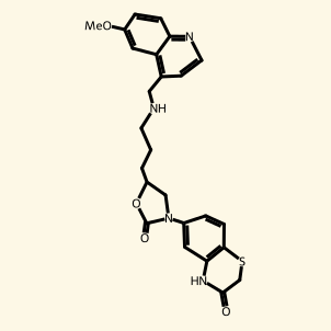 COc1ccc2nccc(CNCCCC3CN(c4ccc5c(c4)NC(=O)CS5)C(=O)O3)c2c1